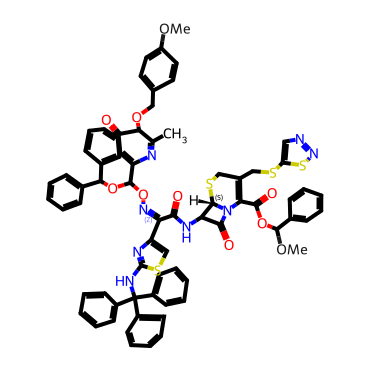 COc1ccc(COC2C(=O)C=C(C(O/N=C(\C(=O)NC3C(=O)N4C(C(=O)OC(OC)c5ccccc5)=C(CSc5cnns5)CS[C@@H]34)c3csc(NC(c4ccccc4)(c4ccccc4)c4ccccc4)n3)OC(c3ccccc3)c3ccccc3)N=C2C)cc1